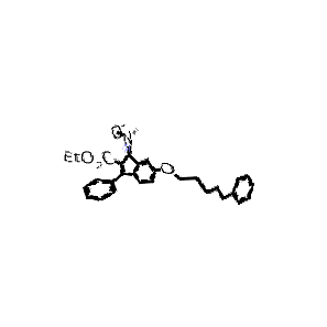 CCOC(=O)C1=C(c2ccccc2)c2ccc(OCCCCCc3ccccc3)cc2/C1=[N+](\C)[O-]